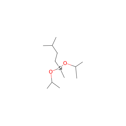 CC(C)CC[Si](C)(OC(C)C)OC(C)C